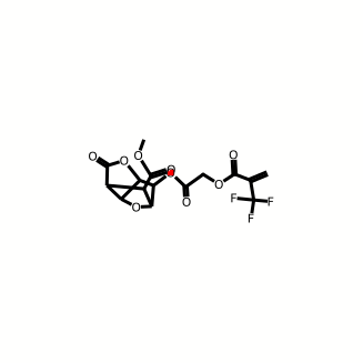 C=C(C(=O)OCC(=O)OC1C2OC(=O)C3C2OC1C3C(=O)OC)C(F)(F)F